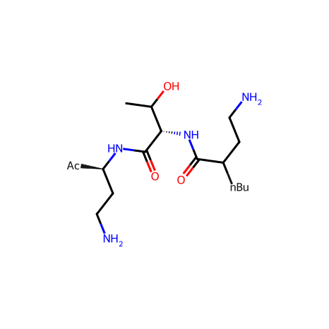 CCCCC(CCN)C(=O)N[C@H](C(=O)N[C@@H](CCN)C(C)=O)C(C)O